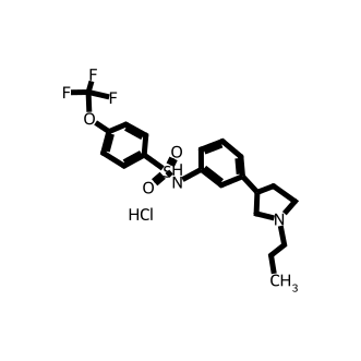 CCCN1CCC(c2cccc(NS(=O)(=O)c3ccc(OC(F)(F)F)cc3)c2)C1.Cl